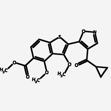 COC(=O)c1ccc2sc(-c3oncc3C(=O)C3CC3)c(OC)c2c1OC